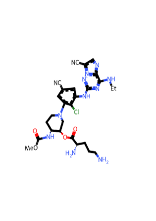 CCNc1nc(Nc2cc(C#N)cc(N3CC[C@@H](NC(=O)OC)[C@H](OC(=O)[C@@H](N)CCCN)C3)c2Cl)nn2c(C#N)cnc12